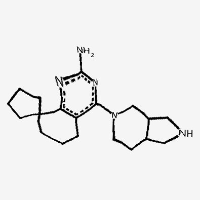 Nc1nc(N2CCC3CNCC3C2)c2c(n1)C1(CCCC1)CCC2